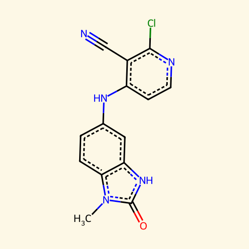 Cn1c(=O)[nH]c2cc(Nc3ccnc(Cl)c3C#N)ccc21